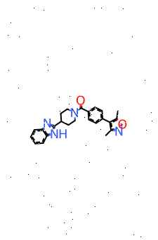 Cc1noc(C)c1-c1ccc(C(=O)N2CCC(c3nc4ccccc4[nH]3)CC2)cc1